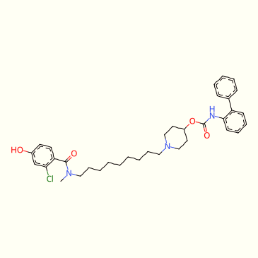 CN(CCCCCCCCCN1CCC(OC(=O)Nc2ccccc2-c2ccccc2)CC1)C(=O)c1ccc(O)cc1Cl